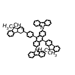 CC1(C)C2=CC=C(c3ccc(-c4c5ccc(-n6c7ccccc7c7ccccc76)cc5c(-c5ccc6c(c5)C(C)(C)c5ccccc5-6)c5ccc(-n6c7ccccc7c7ccccc76)cc45)cc3)CC2c2ccccc21